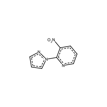 O=[N+]([O-])c1cccnc1-n1cccn1